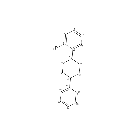 Fc1cc[c]cc1N1CCC(c2ccccc2)CC1